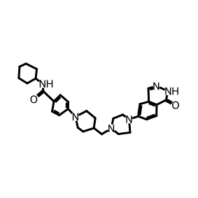 O=C(NC1CCCCC1)c1ccc(N2CCC(CN3CCN(c4ccc5c(=O)[nH]ncc5c4)CC3)CC2)cc1